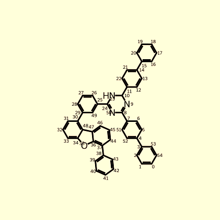 c1ccc(-c2ccc(C3=NC(c4ccc(-c5ccccc5)cc4)NC(c4cccc(-c5cccc6oc7c(-c8ccccc8)cccc7c56)c4)=N3)cc2)cc1